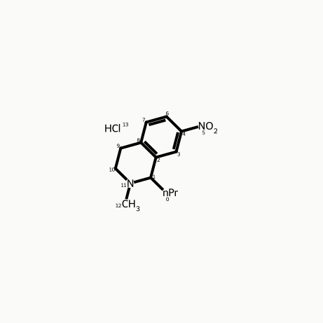 CCCC1c2cc([N+](=O)[O-])ccc2CCN1C.Cl